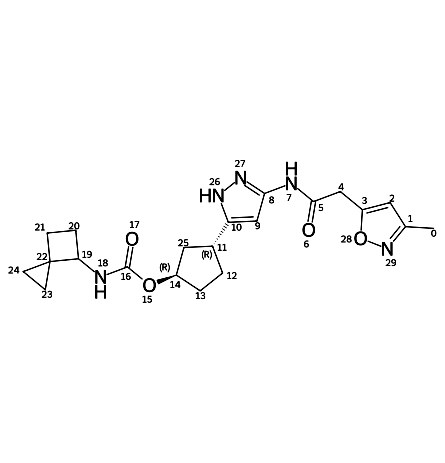 Cc1cc(CC(=O)Nc2cc([C@@H]3CC[C@@H](OC(=O)NC4CCC45CC5)C3)[nH]n2)on1